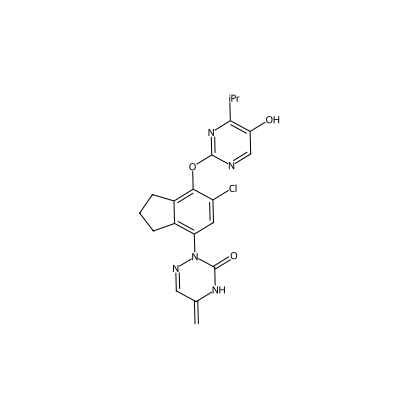 C=C1C=NN(c2cc(Cl)c(Oc3ncc(O)c(C(C)C)n3)c3c2CCC3)C(=O)N1